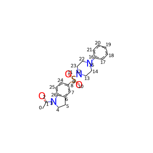 CC(=O)N1CCc2cc(S(=O)(=O)N3CCN(c4ccccc4)CC3)ccc21